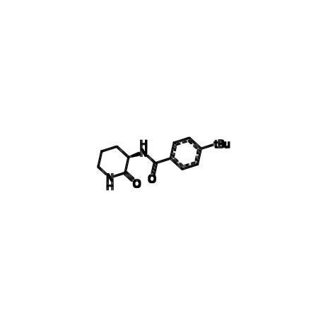 CC(C)(C)c1ccc(C(=O)N[C@@H]2CCCNC2=O)cc1